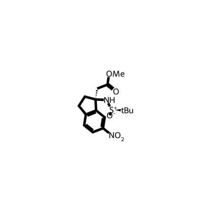 COC(=O)C[C@@]1(N[S@+]([O-])C(C)(C)C)CCc2ccc([N+](=O)[O-])cc21